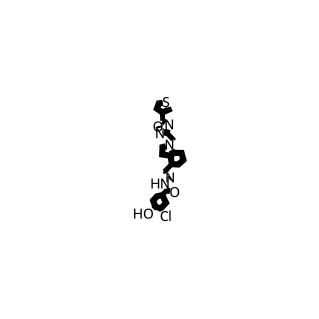 O=C(N/N=C/c1cccc2c1ccn2Cc1noc(-c2ccsc2)n1)c1ccc(O)c(Cl)c1